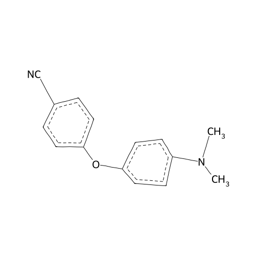 CN(C)c1ccc(Oc2ccc(C#N)cc2)cc1